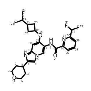 O=C(Nc1cn2cc(C3CCOCC3)nc2cc1OC1CC(C(F)F)C1)c1cccc(C(F)F)n1